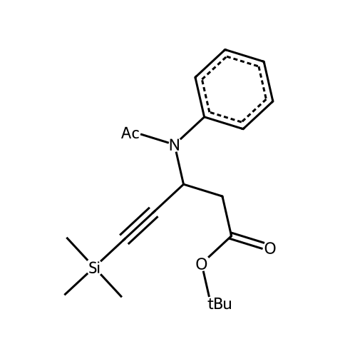 CC(=O)N(c1ccccc1)C(C#C[Si](C)(C)C)CC(=O)OC(C)(C)C